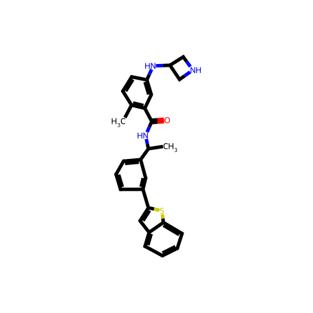 Cc1ccc(NC2CNC2)cc1C(=O)NC(C)c1cccc(-c2cc3ccccc3s2)c1